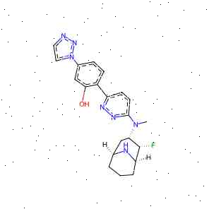 CN(c1ccc(-c2ccc(-n3ccnn3)cc2O)nn1)[C@H]1C[C@@H]2CCC[C@@H](N2)[C@H]1F